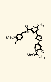 COc1cc(CNC(=O)c2cc(C3=NOC(c4ccn(C(C)OC)c(=O)c4)C3)nc(C)n2)ccc1F